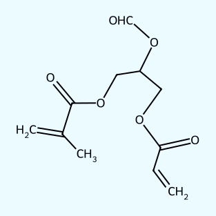 C=CC(=O)OCC(COC(=O)C(=C)C)OC=O